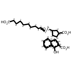 C=CCCCCCCCCC(=O)O.O=C(O)C1CCC(C(=O)O)C1.O=C(O)c1ccc2ccccc2c1O